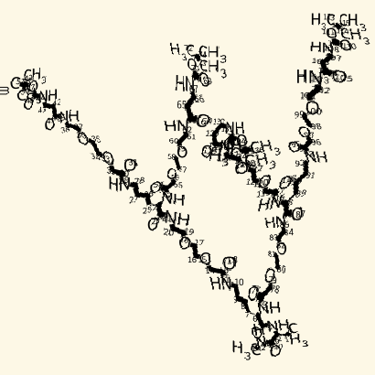 CC[C@H](NC(=O)[C@H](CCCCNC(=O)COCCOCCNC(=O)[C@H](CCCCNC(=O)COCCOCCNC(=O)CCNC(=O)OC(C)(C)C)NC(=O)COCCOCCNC(=O)CCNC(=O)OC(C)(C)C)NC(=O)COCCOCCNC(=O)[C@H](CCCCNC(=O)COCCOCCNC(=O)CCNC(=O)OC(C)(C)C)NC(=O)COCCOCCNC(=O)CCNC(=O)OC(C)(C)C)C(=O)NC